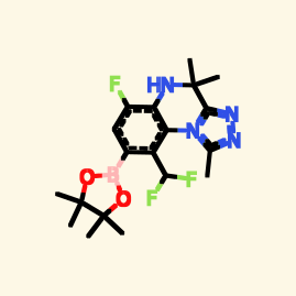 Cc1nnc2n1-c1c(c(F)cc(B3OC(C)(C)C(C)(C)O3)c1C(F)F)NC2(C)C